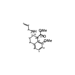 C=CCN[C@H]1CCc2cccc(OC)c2[C@@H]1C(=O)OC